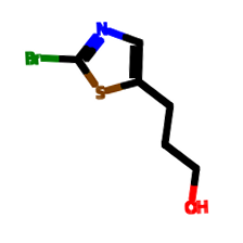 OCCCc1cnc(Br)s1